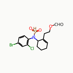 O=COCCC1=CCCCC1N(c1ccc(Br)cc1Cl)[SH](=O)=O